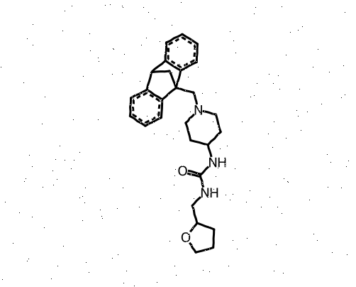 O=C(NCC1CCCO1)NC1CCN(CC23CC(c4ccccc42)c2ccccc23)CC1